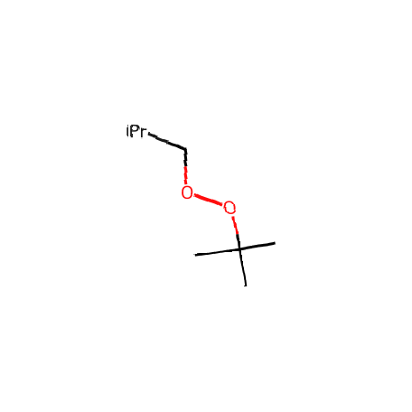 CC(C)COOC(C)(C)C